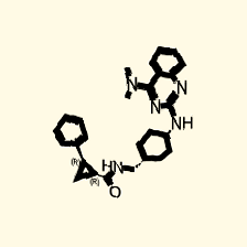 CN(C)c1nc(N[C@H]2CC[C@@H](CNC(=O)[C@@H]3C[C@H]3c3ccccc3)CC2)nc2ccccc12